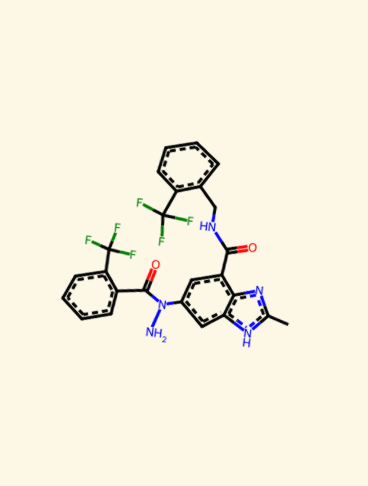 Cc1nc2c(C(=O)NCc3ccccc3C(F)(F)F)cc(N(N)C(=O)c3ccccc3C(F)(F)F)cc2[nH]1